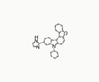 c1ccc(-n2c3cc(-c4ncc[nH]4)ccc3c3c4c(ccc32)oc2ccccc24)cc1